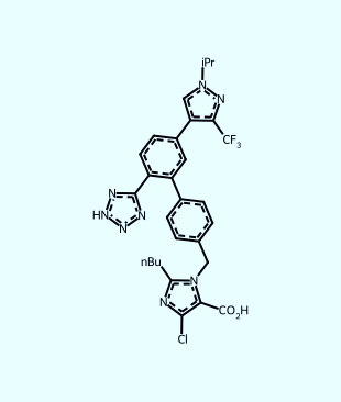 CCCCc1nc(Cl)c(C(=O)O)n1Cc1ccc(-c2cc(-c3cn(C(C)C)nc3C(F)(F)F)ccc2-c2nn[nH]n2)cc1